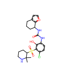 CC1(C)NCCCC1S(=O)(=O)c1c(Cl)ccc(NC(=O)NC2CCCc3ccoc32)c1O